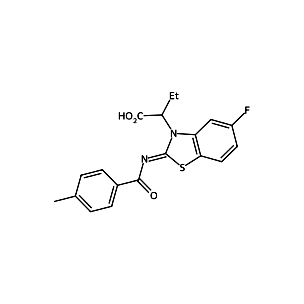 CCC(C(=O)O)n1/c(=N/C(=O)c2ccc(C)cc2)sc2ccc(F)cc21